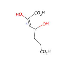 O=C(O)CCC(O)/C=C(/O)C(=O)O